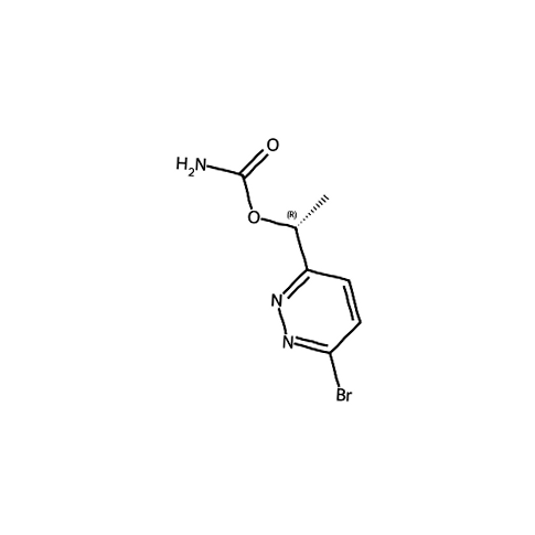 C[C@@H](OC(N)=O)c1ccc(Br)nn1